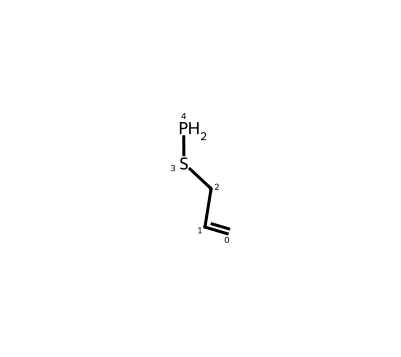 C=CCSP